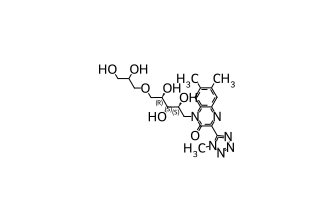 Cc1cc2nc(-c3nnnn3C)c(=O)n(C[C@H](O)[C@H](O)[C@H](O)COCC(O)CO)c2cc1C